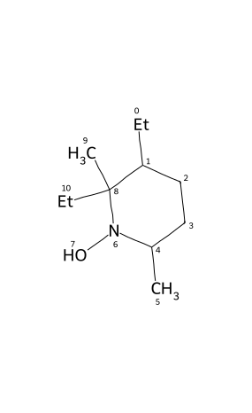 CCC1CCC(C)N(O)C1(C)CC